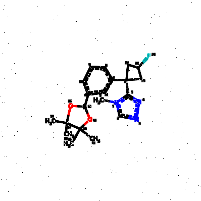 Cn1cnnc1[C@]1(c2cccc(B3OC(C)(C)C(C)(C)O3)c2)C[C@@H](F)C1